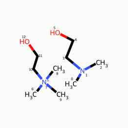 CN(C)CCO.C[N+](C)(C)CCO